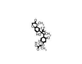 CC(c1ccc(OC(C)(C)C(=O)O)cc1Cl)C(O)(c1ccc2c(c1)N(C)C(=O)CO2)C(F)(F)F